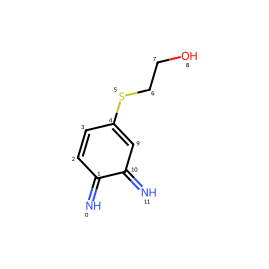 N=C1C=CC(SCCO)=CC1=N